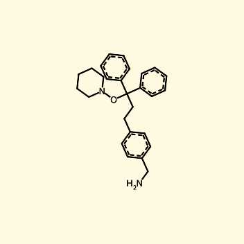 NCc1ccc(CCC(ON2CCCCC2)(c2ccccc2)c2ccccc2)cc1